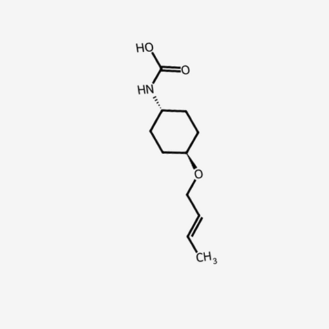 CC=CCO[C@H]1CC[C@H](NC(=O)O)CC1